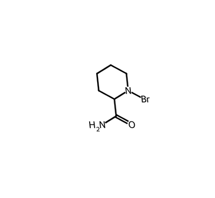 NC(=O)C1CCCCN1Br